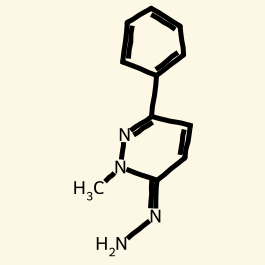 Cn1nc(-c2ccccc2)ccc1=NN